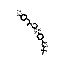 COc1ccc(CC(=O)N2CC[C@H](S(=O)(=O)c3ccc(-c4noc(C(F)(F)F)n4)cc3)C2)cc1